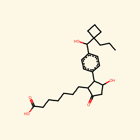 CCCC1(C(O)c2ccc(C3C(O)CC(=O)C3CCCCCCC(=O)O)cc2)CCC1